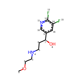 COCCNCC[C@H](O)c1cnc(F)c(F)c1